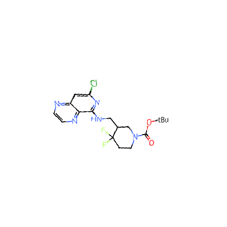 CC(C)(C)OC(=O)N1CCC(F)(F)C(CNc2nc(Cl)cc3nccnc23)C1